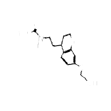 C#CCSc1ccc2c(c1)OCCC2CCNC(C)=O